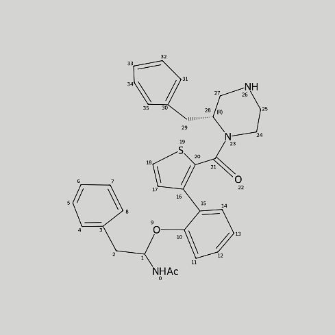 CC(=O)NC(Cc1ccccc1)Oc1ccccc1-c1ccsc1C(=O)N1CCNC[C@H]1Cc1ccccc1